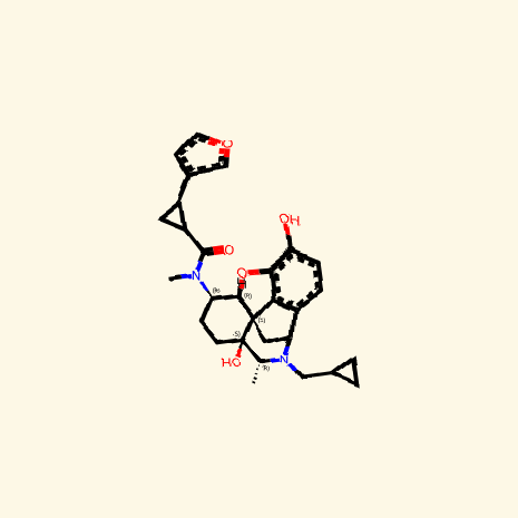 C[C@H]1N(CC2CC2)C2C[C@]34c5c2ccc(O)c5O[C@H]3[C@H](N(C)C(=O)C2CC2c2ccoc2)CC[C@@]14O